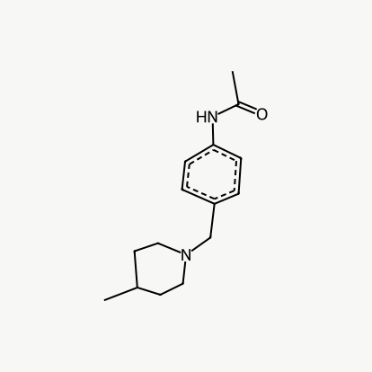 CC(=O)Nc1ccc(CN2CCC(C)CC2)cc1